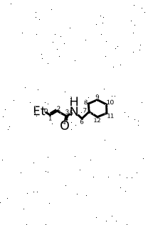 CC/C=C/C(=O)NCC1CCCCC1